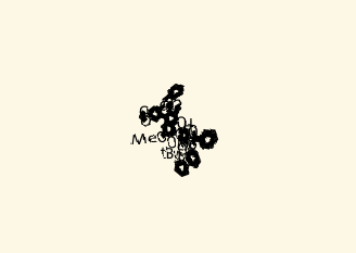 COc1cc2c(OC3OC[C@@]4(CO[Si](c5ccccc5)(c5ccccc5)C(C)(C)C)OC(c5ccccc5)O[C@@H]34)c3c(c(-c4cc5c(cc4OCc4ccccc4)OCO5)c2cc1OC)C(=O)OC3